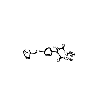 COC(=O)C(NC(=O)OC(C)(C)C)c1ccc(OCC23CCC(CC2)CC3)cc1